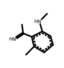 CNc1cccc(C)c1C(C)=N